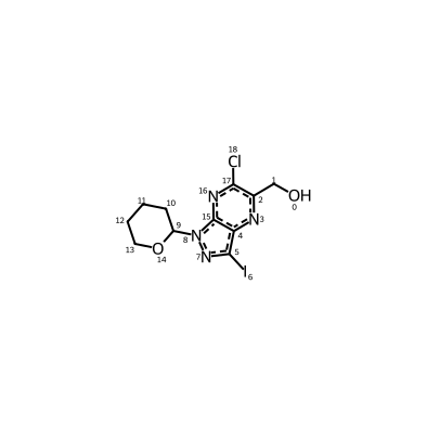 OCc1nc2c(I)nn(C3CCCCO3)c2nc1Cl